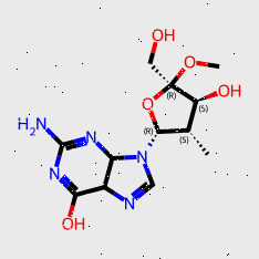 CO[C@]1(CO)O[C@@H](N2C=NC3C(O)=NC(N)=NC32)[C@@H](C)[C@@H]1O